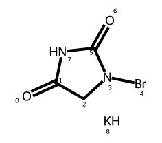 O=C1CN(Br)C(=O)N1.[KH]